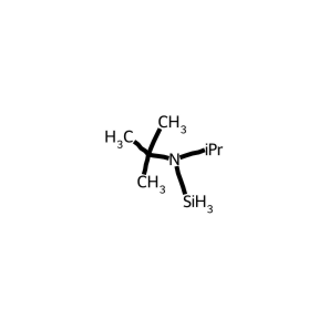 CC(C)N([SiH3])C(C)(C)C